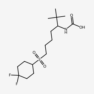 CC(C)(C)C(CCCCS(=O)(=O)C1CCC(F)(F)CC1)NC(=O)O